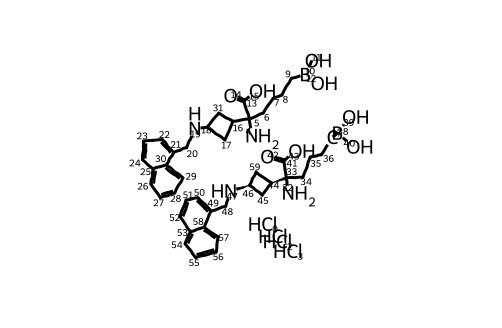 Cl.Cl.Cl.Cl.NC(CCCCB(O)O)(C(=O)O)C1CC(NCc2cccc3ccccc23)C1.NC(CCCCB(O)O)(C(=O)O)[C@H]1C[C@@H](NCc2cccc3ccccc23)C1